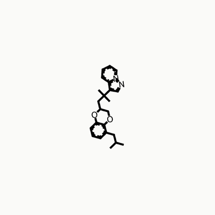 CC(C)Cc1cccc2c1OCC(CC(C)(C)c1cnn3ccccc13)O2